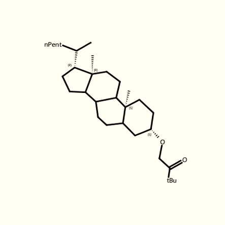 CCCCCC(C)[C@H]1CCC2C3CCC4C[C@@H](OCC(=O)C(C)(C)C)CC[C@]4(C)C3CC[C@@]21C